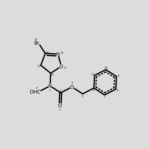 O=CN(C(=O)OCc1ccccc1)C1CC(Br)=NO1